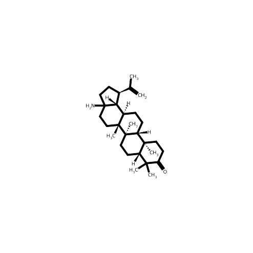 C=C(C)[C@@H]1CCC2(N)CC[C@]3(C)[C@H](CC[C@@H]4[C@@]5(C)CCC(=O)C(C)(C)[C@@H]5CC[C@]43C)[C@@H]12